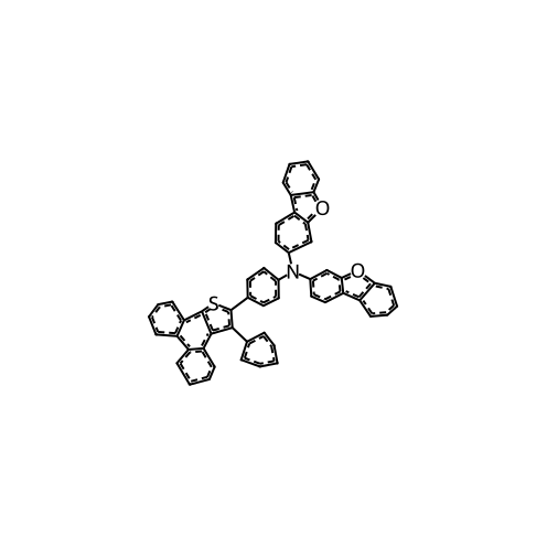 c1ccc(-c2c(-c3ccc(N(c4ccc5c(c4)oc4ccccc45)c4ccc5c(c4)oc4ccccc45)cc3)sc3c4ccccc4c4ccccc4c23)cc1